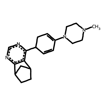 CN1CCN(C2=CC[C](c3ncnc4c3C3CCC4C3)C=C2)CC1